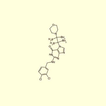 BC(B)(N1CCOCC1)C(B)(B)n1cnc2nc(NCc3ccc(Cl)c(Cl)c3)[nH]c(=O)c21